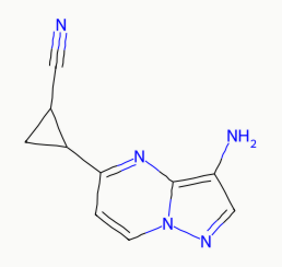 N#CC1CC1c1ccn2ncc(N)c2n1